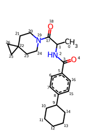 CC(NC(=O)c1ccc(C2CCCCC2)cc1)C(=O)N1CCC2(CC1)CC2